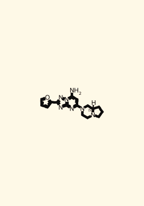 Nc1cc(N2CCN3CCC[C@H]3C2)nc2nc(-c3ccco3)nn12